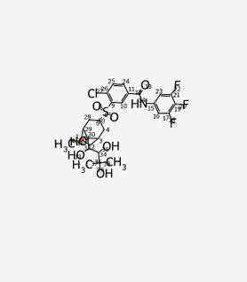 C[C@H]1CC2C[C@@H](S(=O)(=O)c3cc(C(=O)Nc4cc(F)c(F)c(F)c4)ccc3Cl)CC1[C@@]2(O)C(O)C(O)C(C)(C)O